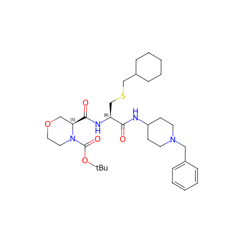 CC(C)(C)OC(=O)N1CCOC[C@H]1C(=O)N[C@@H](CSCC1CCCCC1)C(=O)NC1CCN(Cc2ccccc2)CC1